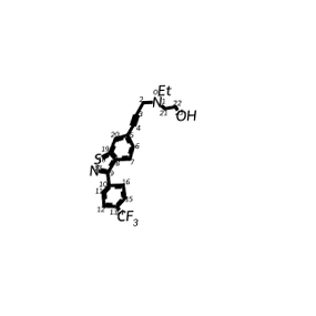 CCN(CC#Cc1ccc2c(-c3ccc(C(F)(F)F)cc3)nsc2c1)CCO